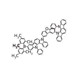 Cc1cc(C)c(B(c2ccc3c(c2)c2ccc4c(c5ccccc5n4-c4ccc5oc6ccc(-n7c8ccccc8c8ccc9c%10ccccc%10n(-c%10ccccc%10)c9c87)cc6c5c4)c2n3-c2ccccc2)c2c(C)cc(C)cc2C)c(C)c1